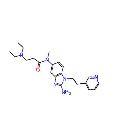 CCN(CC)CCC(=O)N(C)c1ccc2c(c1)nc(N)n2CCc1cccnc1